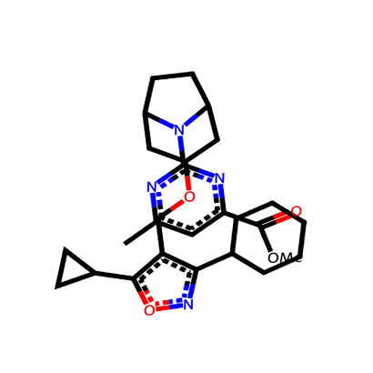 COC(=O)c1cc(C)nc(N2C3CCC2CC(OCc2c(C4CCCCC4)noc2C2CC2)C3)n1